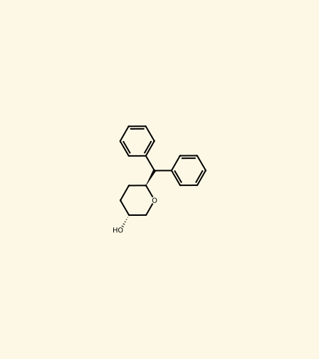 O[C@@H]1CC[C@@H](C(c2ccccc2)c2ccccc2)OC1